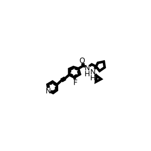 O=C(NCC1(NC2CC2)CCCC1)c1ccc(C#Cc2ccncc2)c(F)c1